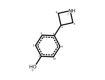 Oc1ccc(C2CNC2)cc1